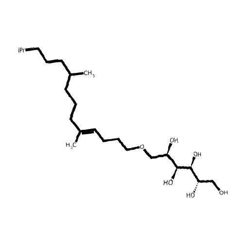 CC(=CCCCOC[C@@H](O)[C@H](O)[C@@H](O)[C@@H](O)CO)CCCC(C)CCCC(C)C